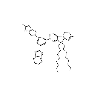 CCCCCCCCC1(CCCCCCCC)c2cc(C)ccc2-c2ccc(-c3cc(-c4cc5sc(C)cc5s4)cc(-c4nc5ccccc5s4)c3)cc21